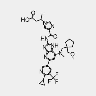 COCC1(CN(C)c2cc(-c3cnc(C4CC4)c(C(F)(F)F)c3)nc3nc(NC(=O)c4cn(C(C)CC(=O)O)cn4)[nH]c23)CCCC1